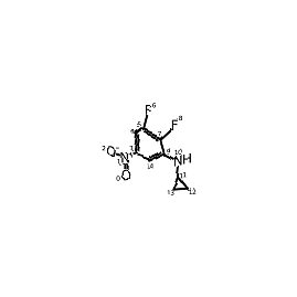 O=[N+]([O-])c1cc(F)c(F)c(NC2CC2)c1